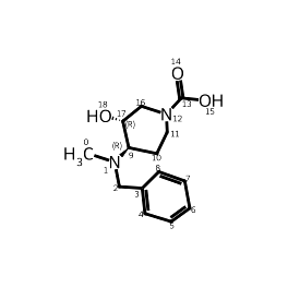 CN(Cc1ccccc1)[C@@H]1CCN(C(=O)O)C[C@H]1O